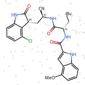 CCC(C)C[C@H](NC(=O)c1cc2c(OC)cccc2[nH]1)C(=O)N[C@H](C#N)C[C@H]1C(=O)Nc2cccc(Cl)c21